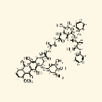 COc1cccc2c1C(=O)c1c(O)c3c(c(O)c1C2=O)C[C@@](O)(C(=O)COC(=O)CCC(=O)N[C@@H](C(=O)C(=O)[C@H](Cc1ccccc1)NC(=O)[C@@H](N)Cc1ccccc1)C(C)O)C[C@@H]3OC1CC(N)C(O)C(C)O1